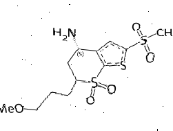 COCCCC1C[C@H](N)c2cc(S(C)(=O)=O)sc2S1(=O)=O